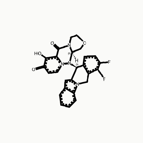 O=C1c2c(O)c(=O)ccn2N([C@H]2c3ccc(F)c(F)c3Cn3c2cc2ccccc23)[C@@H]2COCCN12